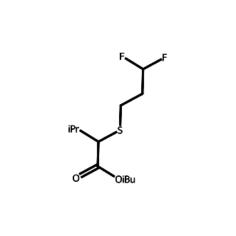 CC(C)COC(=O)C(SCCC(F)F)C(C)C